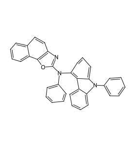 c1ccc(N(c2nc3ccc4ccccc4c3o2)c2cccc3c2c2ccccc2n3-c2ccccc2)cc1